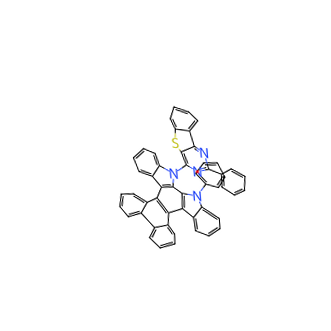 c1ccc(-c2nc(-n3c4ccccc4c4c5c6ccccc6c6ccccc6c5c5c6ccccc6n(-c6ccccc6)c5c43)c3sc4ccccc4c3n2)cc1